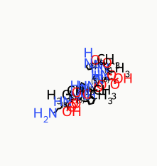 CC(C)[C@H](NC(=O)[C@H](Cc1ccccc1)NC(=O)[C@@H]1CCCN1C(=O)[C@@H](NC(=O)[C@@H]1CCCN1C(=O)[C@H](CCC(=O)O)NC(=O)[C@H](C)NC(=O)[C@H](C)NC(=O)[C@@H]1CCCN1)C(C)C)C(=O)N[C@@H](CCCCN)C(=O)O